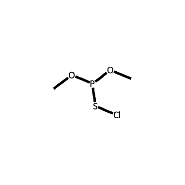 COP(OC)SCl